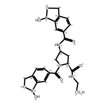 O=C(O)CNC(=O)[C@@H]1C[C@H](NC(=O)c2ccc3c(c2)B(O)OC3)CN1C(=O)c1ccc2c(c1)B(O)OC2